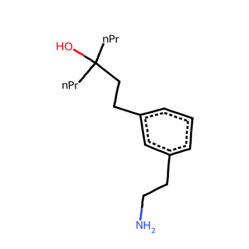 CCCC(O)(CCC)CCc1cccc(CCN)c1